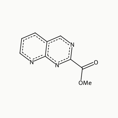 COC(=O)c1ncc2cccnc2n1